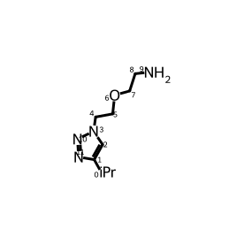 CC(C)c1cn(CCOCCN)nn1